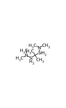 CN(C)[SiH2]C(C)(C)[SiH2]N(C)C